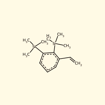 C=Cc1cccc([Si](C)(C)C)c1[Si](C)(C)C